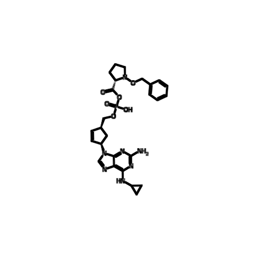 Nc1nc(NC2CC2)c2ncn([C@H]3C=C[C@@H](COP(=O)(O)OC(=O)[C@@H]4CCCN4OCc4ccccc4)C3)c2n1